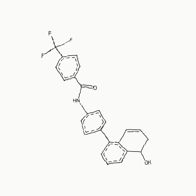 O=C(Nc1ccc(-c2cccc3c2C=CCC3O)cc1)c1ccc(C(F)(F)F)cc1